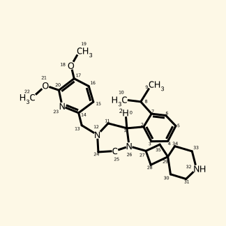 [2H]C1(c2ccccc2C(C)C)CN(Cc2ccc(OC)c(OC)n2)CCN1C1CC2(CCNCC2)C1